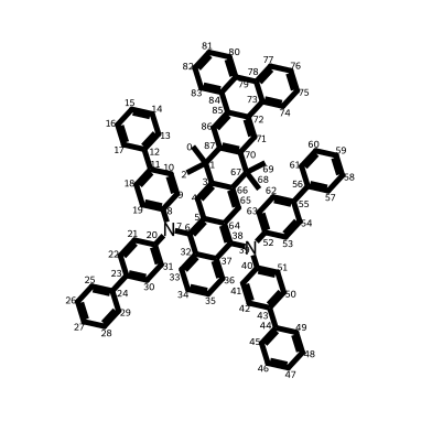 CC1(C)c2cc3c(N(c4ccc(-c5ccccc5)cc4)c4ccc(-c5ccccc5)cc4)c4ccccc4c(N(c4ccc(-c5ccccc5)cc4)c4ccc(-c5ccccc5)cc4)c3cc2C(C)(C)c2cc3c4ccccc4c4ccccc4c3cc21